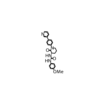 COc1ccc(NC(=O)N[C@@H]2CCCN(c3ccc(-c4cccnc4)cc3)C2=O)cc1